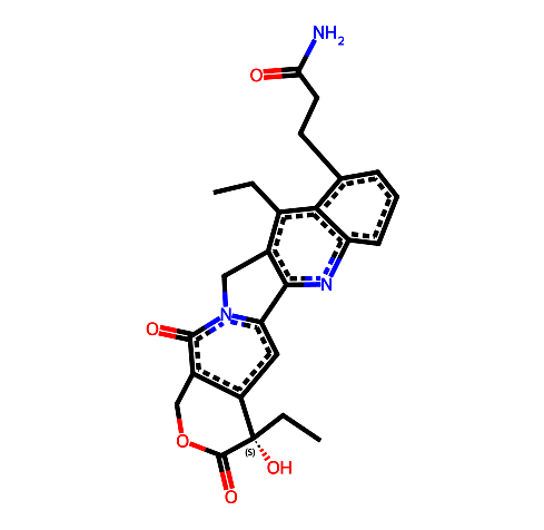 CCc1c2c(nc3cccc(CCC(N)=O)c13)-c1cc3c(c(=O)n1C2)COC(=O)[C@]3(O)CC